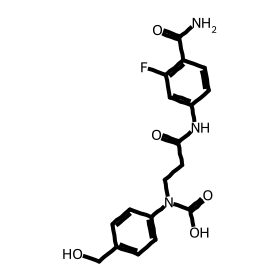 NC(=O)c1ccc(NC(=O)CCN(C(=O)O)c2ccc(CO)cc2)cc1F